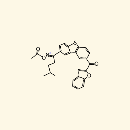 CC(=O)O/N=C(\CCC(C)C)c1ccc2sc3ccc(C(=O)c4cc5ccccc5o4)cc3c2c1